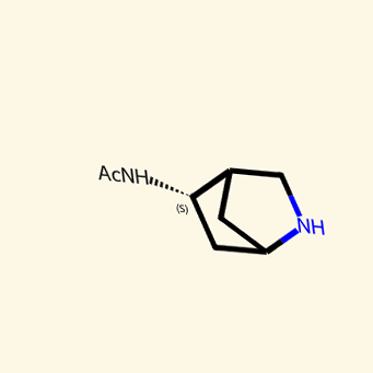 CC(=O)N[C@H]1CC2CC1CN2